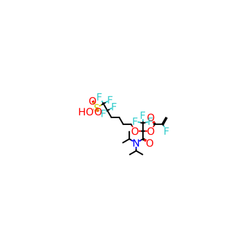 C=C(F)C(=O)OC(OCCCCC(F)(F)C(F)(F)S(=O)(=O)O)(C(=O)N(C(C)C)C(C)C)C(F)(F)F